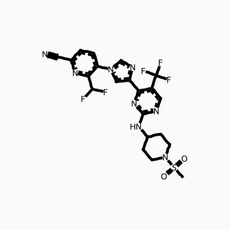 CS(=O)(=O)N1CCC(Nc2ncc(C(F)(F)F)c(-c3cn(-c4ccc(C#N)nc4C(F)F)cn3)n2)CC1